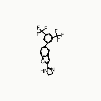 FC(F)(F)c1cc(-c2ccc3oc(C4=NCCN4)cc3c2)cc(C(F)(F)F)c1